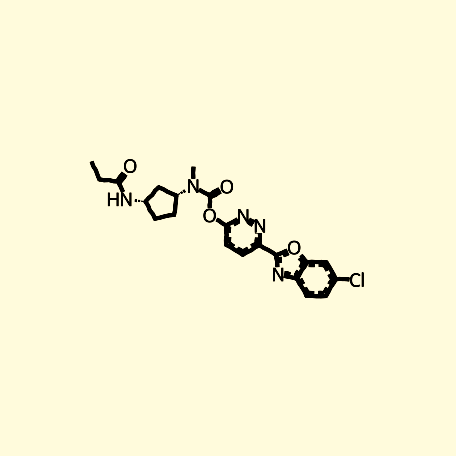 CCC(=O)N[C@H]1CC[C@@H](N(C)C(=O)Oc2ccc(-c3nc4ccc(Cl)cc4o3)nn2)C1